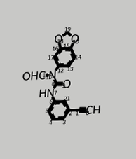 C#Cc1cccc(NC(=O)N(C=O)c2ccc3c(c2)OCO3)c1